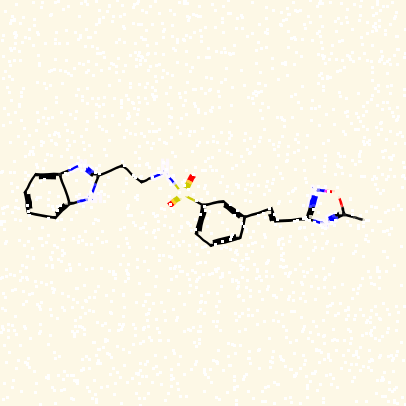 O=S(=O)(NCCc1nc2ccccc2[nH]1)c1cccc(C=Cc2noc(C(F)(F)F)n2)c1